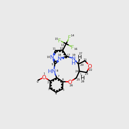 COc1cccc2c1Nc1ncc(C(F)(F)F)c(n1)N[C@@H]1COC[C@H]1CO2